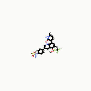 COc1c(CC(F)(F)F)cc(-c2ccc(C)[nH]c2=O)c2ncc(-c3ccc(NS(C)(=O)=O)cc3)cc12